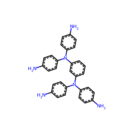 Nc1ccc(N(c2ccc(N)cc2)c2cccc(N(c3ccc(N)cc3)c3ccc(N)cc3)c2)cc1